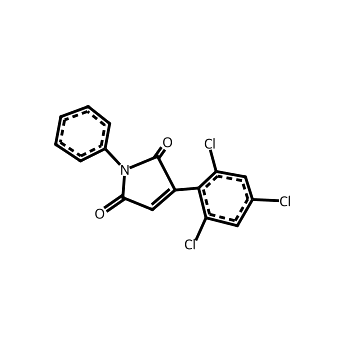 O=C1C=C(c2c(Cl)cc(Cl)cc2Cl)C(=O)N1c1ccccc1